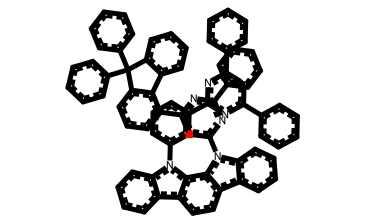 c1ccc(-c2nc(-c3ccccc3)nc(-c3cccc(-n4c5ccccc5c5ccc6c7ccccc7n(-c7nc(-c8ccccc8)nc(-c8cccc9c8-c8ccccc8C9(c8ccccc8)c8ccccc8)n7)c6c54)c3)n2)cc1